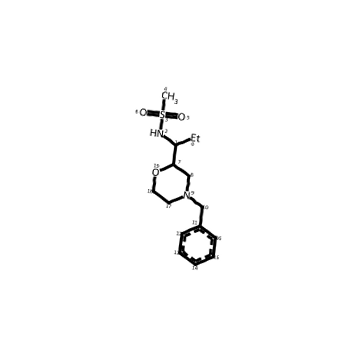 CCC(NS(C)(=O)=O)C1CN(Cc2ccccc2)CCO1